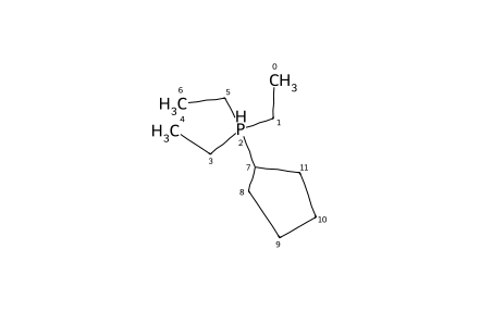 CC[PH](CC)(CC)C1CCCC1